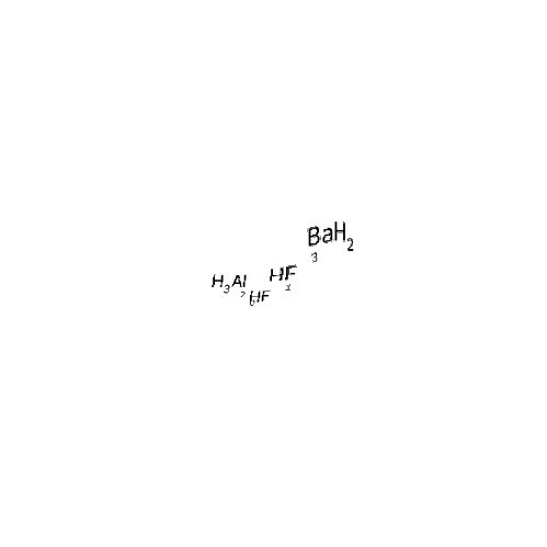 F.F.[AlH3].[BaH2]